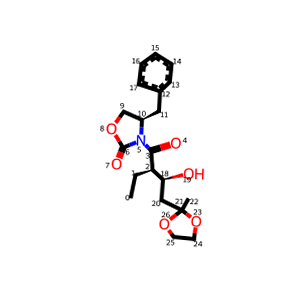 CC[C@@H](C(=O)N1C(=O)OC[C@H]1Cc1ccccc1)[C@@H](O)CC1(C)OCCO1